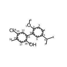 COc1ccc(C(C)C)cc1-c1cc(Cl)c(C)cc1O